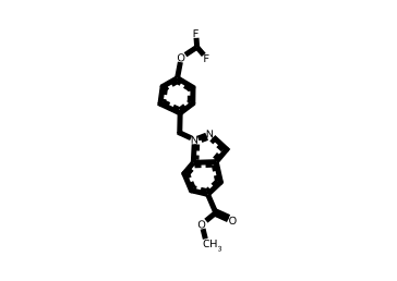 COC(=O)c1ccc2c(cnn2Cc2ccc(OC(F)F)cc2)c1